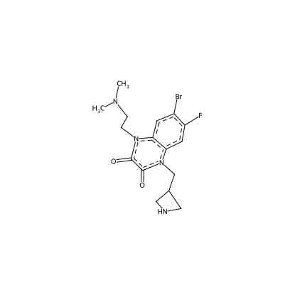 CN(C)CCn1c(=O)c(=O)n(CC2CNC2)c2cc(F)c(Br)cc21